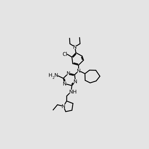 CCN(CC)c1ccc(N(c2nc(N)nc(NCC3CCCN3CC)n2)C2CCCCCC2)cc1Cl